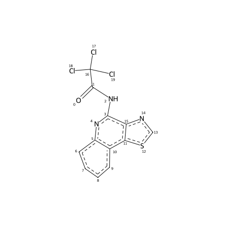 O=C(Nc1nc2ccccc2c2scnc12)C(Cl)(Cl)Cl